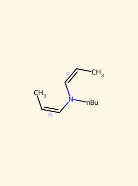 [CH2]CCCN(/C=C\C)/C=C\C